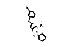 Cc1ccccc1S(=O)(=O)Nc1cc(Cc2cccc(C#N)c2)sc1OC(=O)O